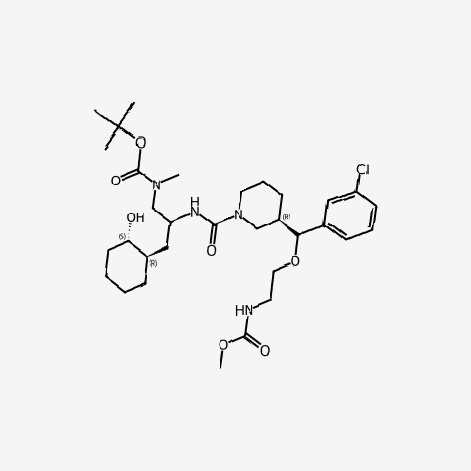 COC(=O)NCCOC(c1cccc(Cl)c1)[C@@H]1CCCN(C(=O)NC(C[C@H]2CCCC[C@@H]2O)CN(C)C(=O)OC(C)(C)C)C1